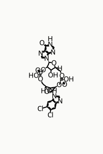 O=c1[nH]cnc2c1ncn2[C@@H]1O[C@@H]2COP(=O)(O)OC3C(O)[C@@H](COP(=O)(O)OC1C2O)O[C@H]3n1cnc2cc(Cl)c(Cl)cc21